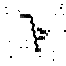 CC(N)=O.CCCCCCCCCCCCCCCC(O)CCO